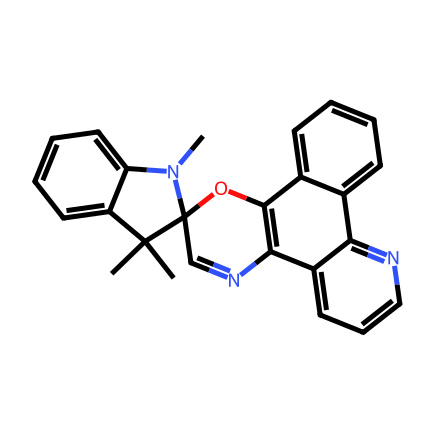 CN1c2ccccc2C(C)(C)C12C=Nc1c(c3ccccc3c3ncccc13)O2